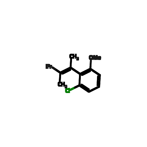 COc1cccc(Cl)c1/C(C)=C(\C)C(C)C